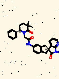 CC1(C)CC[C@@H](c2ccccc2)N(CC(=O)Nc2ccc3c(c2)C[C@@]2(C3)C(=O)Nc3ncccc32)C1=O